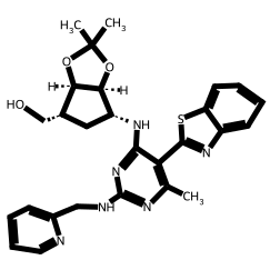 Cc1nc(NCc2ccccn2)nc(N[C@@H]2C[C@H](CO)[C@H]3OC(C)(C)O[C@H]32)c1-c1nc2ccccc2s1